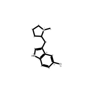 CN1CCCC1Cc1c[nH]c2ccc(Cl)cc12